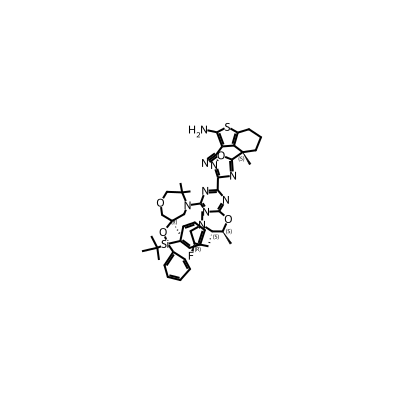 C[C@H](Oc1nc(-c2noc([C@@]3(C)CCCc4sc(N)c(C#N)c43)n2)nc(N2C[C@@](C)(O[Si](c3ccccc3)(c3ccccc3)C(C)(C)C)COCC2(C)C)n1)[C@@H]1C[C@@H](F)CN1C